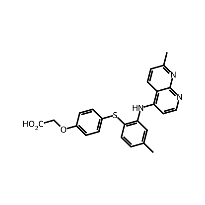 Cc1ccc(Sc2ccc(OCC(=O)O)cc2)c(Nc2ccnc3nc(C)ccc23)c1